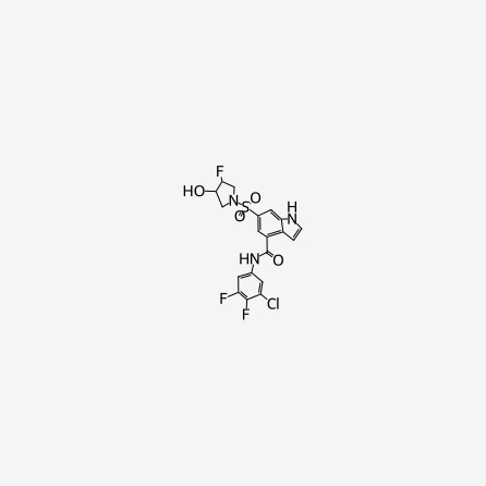 O=C(Nc1cc(F)c(F)c(Cl)c1)c1cc(S(=O)(=O)N2CC(O)C(F)C2)cc2[nH]ccc12